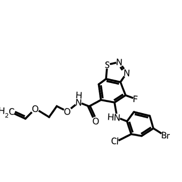 C=COCCONC(=O)c1cc2snnc2c(F)c1Nc1ccc(Br)cc1Cl